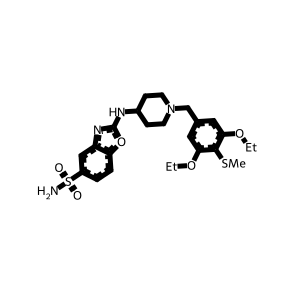 CCOc1cc(CN2CCC(Nc3nc4cc(S(N)(=O)=O)ccc4o3)CC2)cc(OCC)c1SC